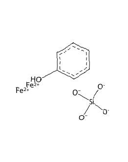 Oc1ccccc1.[Fe+2].[Fe+2].[O-][Si]([O-])([O-])[O-]